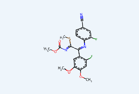 COC(=O)N=C(SC)C(=Nc1ccc(C#N)cc1F)c1cc(OC)c(OC)cc1F